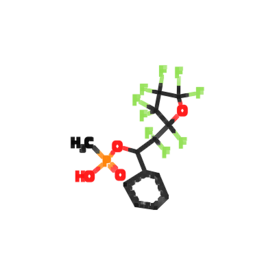 CP(=O)(O)OC(c1ccccc1)C(F)(F)C1(F)OC(F)(F)C(F)(F)C1(F)F